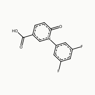 O=C(O)c1ccc(=O)n(-c2cc(F)cc(F)c2)c1